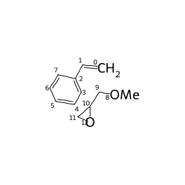 C=Cc1ccccc1.COCC1CO1